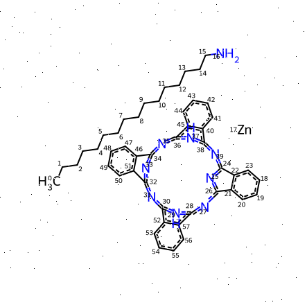 CCCCCCCCCCCCCCCCN.[Zn].c1ccc2c(c1)-c1nc-2nc2[nH]c(nc3nc(nc4[nH]c(n1)c1ccccc41)-c1ccccc1-3)c1ccccc21